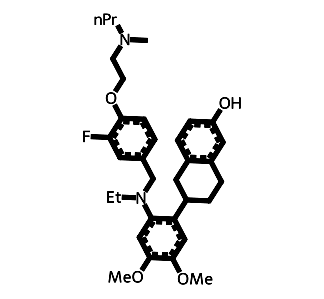 CCCN(C)CCOc1ccc(CN(CC)c2cc(OC)c(OC)cc2C2CCc3cc(O)ccc3C2)cc1F